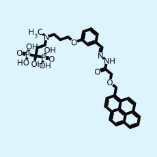 CN(CCCOc1cccc(/C=N/NC(=O)COCc2ccc3ccc4cccc5ccc2c3c45)c1)CCC(O)(P(=O)(O)O)P(=O)(O)O